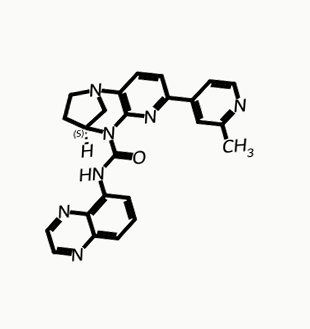 Cc1cc(-c2ccc3c(n2)N(C(=O)Nc2cccc4nccnc24)[C@H]2CCN3C2)ccn1